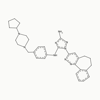 Nc1nc(Nc2ccc(CN3CCN(C4CCCC4)CC3)cc2)n(-c2cc3c(nn2)-c2ccccc2CCC3)n1